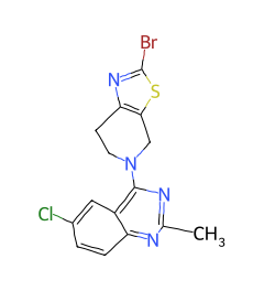 Cc1nc(N2CCc3nc(Br)sc3C2)c2cc(Cl)ccc2n1